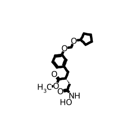 COC(=O)[C@@H](CC(=O)NO)Cc1cccc(OCOC2CCCC2)c1